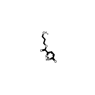 CCCCOC(=O)c1ccc(=O)[nH]n1